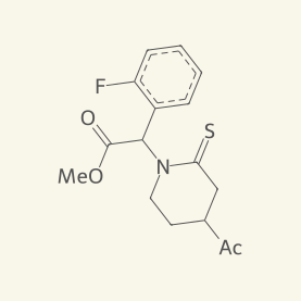 COC(=O)C(c1ccccc1F)N1CCC(C(C)=O)CC1=S